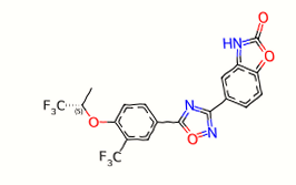 C[C@H](Oc1ccc(-c2nc(-c3ccc4oc(=O)[nH]c4c3)no2)cc1C(F)(F)F)C(F)(F)F